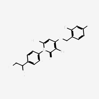 Cc1cc(OCc2ccc(F)cc2F)c(Br)c(=O)n1-c1ccc(C(O)CO)cc1